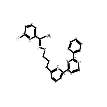 C/C(=N\OCCCc1cccc(-c2ccnc(-c3ccccc3)n2)n1)c1cccc(C)n1